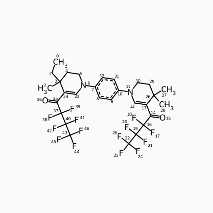 CCC1(C)CCN(c2ccc(N3C=C(C(=O)C(F)(F)C(F)(F)C(F)(F)F)C(C)(C)CC3)cc2)C=C1C(=O)C(F)(F)C(F)(F)C(F)(F)F